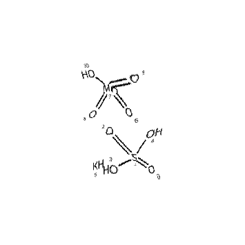 O=S(=O)(O)O.[KH].[O]=[Mn](=[O])(=[O])[OH]